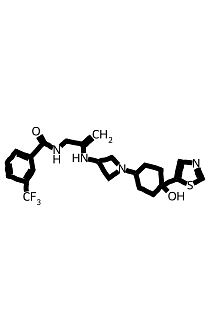 C=C(CNC(=O)c1cccc(C(F)(F)F)c1)NC1CN(C2CCC(O)(c3cncs3)CC2)C1